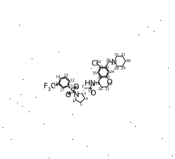 O=C(C[C@@H]1CCCN1S(=O)(=O)c1cccc(C(F)(F)F)c1)N[C@@H]1CCOc2cc(CN3CCCCC3)c(Cl)cc21